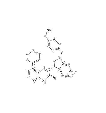 CC(=O)O.NCc1ccc(Cn2cc(-c3nc4c(-c5ccccc5)cccc4[nH]c3=O)c3ccccc32)cc1